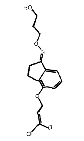 OCCCON=C1CCc2c(OCC=C(Cl)Cl)cccc21